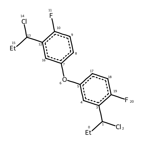 CCC(Cl)c1cc(Oc2ccc(F)c(C(Cl)CC)c2)ccc1F